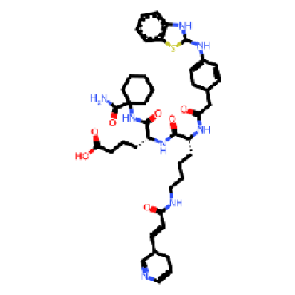 NC(=O)C1(NC(=O)[C@@H](CCCC(=O)O)NC(=O)[C@@H](CCCCNC(=O)/C=C/C2C=NC=CC2)NC(=O)CC2C=CC(NC3Nc4ccccc4S3)=CC2)CCCCC1